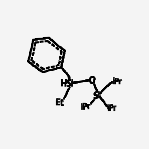 CC[SiH](O[Si](C(C)C)(C(C)C)C(C)C)c1ccccc1